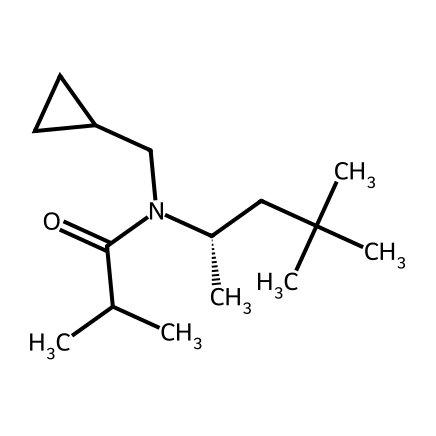 CC(C)C(=O)N(CC1CC1)[C@@H](C)CC(C)(C)C